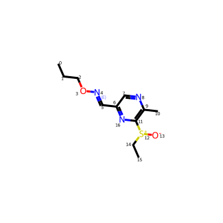 CCCO/N=C/c1cnc(C)c([S+]([O-])CC)n1